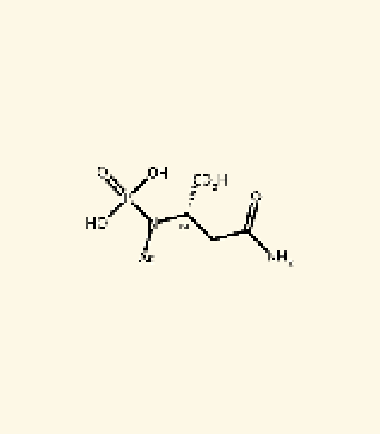 CC(=O)N([C@@H](CC(N)=O)C(=O)O)P(=O)(O)O